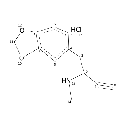 C#CC(Cc1ccc2c(c1)OCO2)NC.Cl